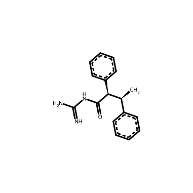 C[C@@H](c1ccccc1)[C@@H](C(=O)NC(=N)N)c1ccccc1